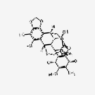 COC1=C(C)C(=O)C2=C(C1=O)C1C3[C@@H]4SCC(NC(C)=O)C(=O)OC[C@@H](c5c6c(c(C)c(O)c54)OCO6)N3[C@@H](O)C(C2)N1C